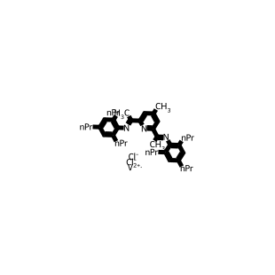 CCCc1cc(CCC)c(N=C(C)c2cc(C)cc(C(C)=Nc3c(CCC)cc(CCC)cc3CCC)n2)c(CCC)c1.[Cl-].[Cl-].[V+2]